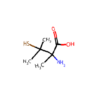 CC(C)(S)C(C)(N)C(=O)O